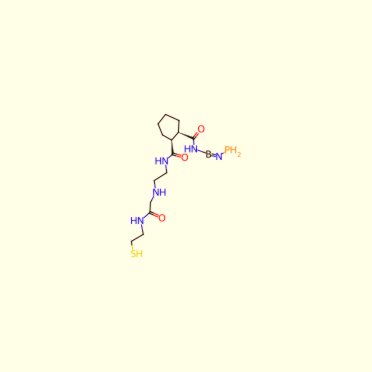 O=C(CNCCNC(=O)[C@H]1CCCC[C@H]1C(=O)NB=NP)NCCS